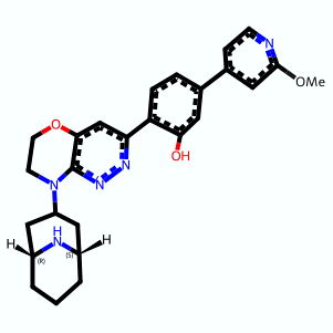 COc1cc(-c2ccc(-c3cc4c(nn3)N(C3C[C@H]5CCC[C@@H](C3)N5)CCO4)c(O)c2)ccn1